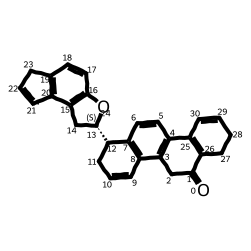 O=C1Cc2c(ccc3c2C=CCC3[C@@H]2Cc3c(ccc4c3[C]=CC4)O2)C2=C1CCC=C2